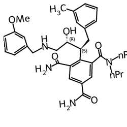 CCCN(CCC)C(=O)c1cc(C(N)=O)cc(C(N)=O)c1[C@H](Cc1cccc(C)c1)[C@@H](O)CNCc1cccc(OC)c1